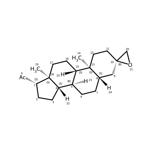 CC(=O)[C@H]1CC[C@H]2[C@@H]3CC[C@H]4C[C@]5(CC[C@]4(C)[C@H]3CC[C@]12C)CO5